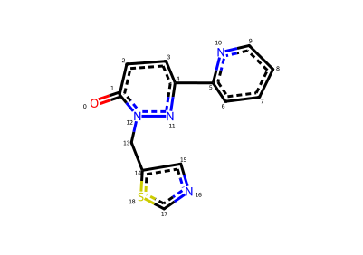 O=c1ccc(-c2ccccn2)nn1Cc1cncs1